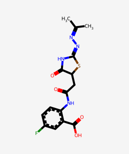 CC(C)=N/N=C1\NC(=O)C(CC(=O)Nc2ccc(F)cc2C(=O)O)S1